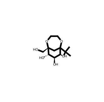 CC(C)(C)C12C[C@@](CO)(OCCO1)[C@@H](O)[C@H](O)[C@H]2O